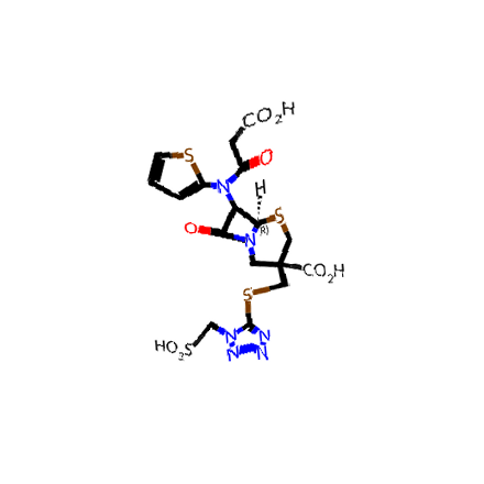 O=C(O)CC(=O)N(c1cccs1)C1C(=O)N2CC(CSc3nnnn3CS(=O)(=O)O)(C(=O)O)CS[C@H]12